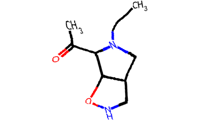 CCN1CC2CNOC2C1C(C)=O